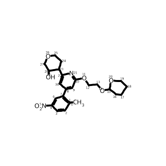 Cc1ccc([N+](=O)[O-])cc1-c1cc(OCCOC2CCCCO2)nc(C2CCOCC2O)c1